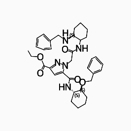 CCOC(=O)c1cc(C(=O)N[C@H]2CCCC[C@@H]2OCc2ccccc2)n(CC(=O)NC2CCCC[C@@H]2NCc2ccccc2)n1